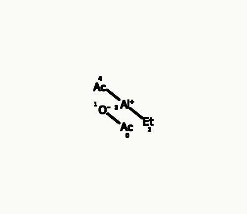 CC(=O)[O-].C[CH2][Al+][C](C)=O